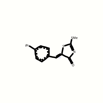 CSC1=NC(=O)/C(=C/c2ccc(C(C)C)cc2)S1